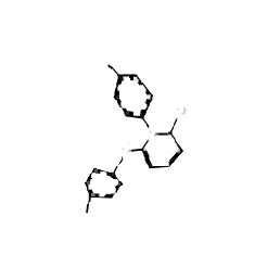 Cc1ccc(NC2=CC=CC(N)N2c2ccc(C)cc2)cc1